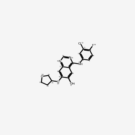 Oc1cc2c(Nc3ccc(F)c(Cl)c3)ncnc2cc1OC1CCOC1